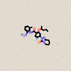 CCCC(C)Oc1cc(-n2nc3n(c2=O)CCCC3)c(F)cc1C(=O)Nc1c(C)cccc1N